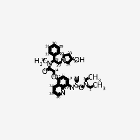 CCN(CC)O[SH](=O)=Nc1ccc(OCC(=O)N(C)C(CN2CC[C@H](O)C2)c2ccccc2)c2cccnc12